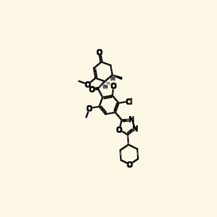 COC1=CC(=O)C[C@@H](C)[C@]12Oc1c(Cl)c(-c3nnc(C4CCOCC4)o3)cc(OC)c1C2=O